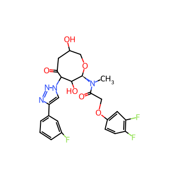 CN(C(=O)COc1ccc(F)c(F)c1)[C@@H]1OCC(O)CC(=O)C(n2cc(-c3cccc(F)c3)nn2)C1O